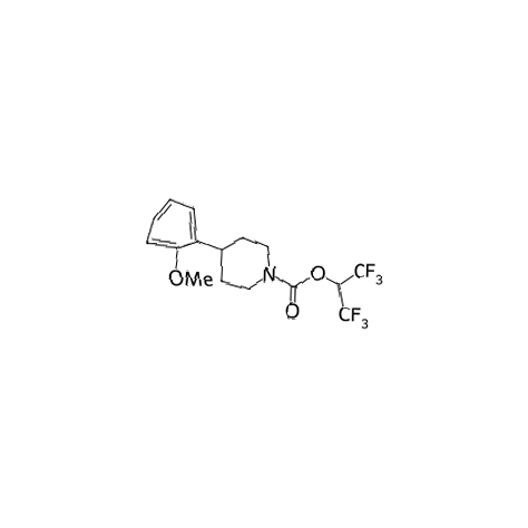 COc1ccccc1C1CCN(C(=O)OC(C(F)(F)F)C(F)(F)F)CC1